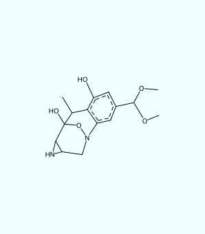 [CH2]C1c2c(O)cc(C(OC)OC)cc2N2CC3NC3C1(O)O2